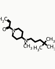 C=CC(=O)N1CCC(N(C)CCCC(C)(C)C)CC1